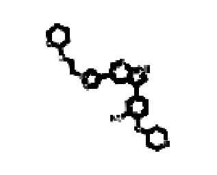 N#Cc1cc(-c2c[nH]c3ncc(-c4cnn(CCOC5CCCCO5)c4)cc23)ccc1OC1CCOCC1